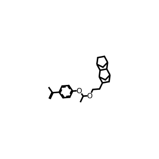 C=C(C)c1ccc(OC(C)OCCC2CC3CC2C2C4CCC(C4)C32)cc1